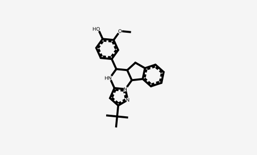 COc1cc(C2Nc3cc(C(C)(C)C)nn3C3c4ccccc4CC23)ccc1O